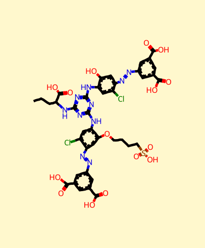 CCCC(Nc1nc(Nc2cc(Cl)c(N=Nc3cc(C(=O)O)cc(C(=O)O)c3)cc2O)nc(Nc2cc(Cl)c(N=Nc3cc(C(=O)O)cc(C(=O)O)c3)cc2OCCCCS(=O)(=O)O)n1)C(=O)O